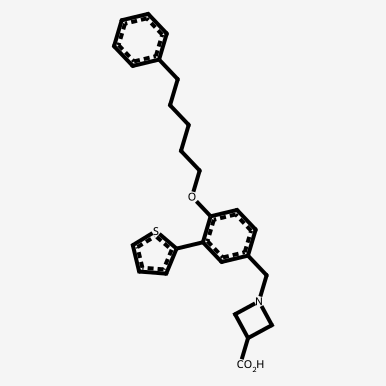 O=C(O)C1CN(Cc2ccc(OCCCCCc3ccccc3)c(-c3cccs3)c2)C1